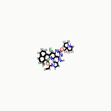 C=CC(=O)N1CC[C@@H](N(C)c2nc(OCC34CCCN3CCC4)nc3c(F)c(-c4cccc5ccc(F)c(F)c45)ncc23)C1